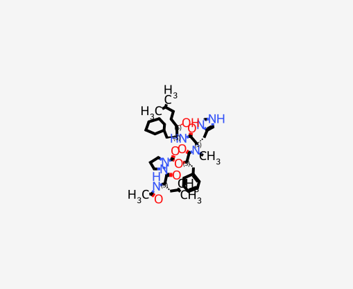 CC(=O)N[C@@H](CC(C)C)C(=O)N1CCCN1C(=O)O[C@@H](Cc1ccccc1)C(=O)N(C)[C@@H](Cc1c[nH]cn1)C(=O)N[C@@H](CC1CCCCC1)[C@@H](O)CCC(C)C